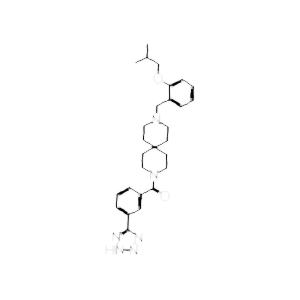 CC(C)COc1ccccc1CN1CCC2(CC1)CCN(C(=O)c1cccc(-c3nn[nH]n3)c1)CC2